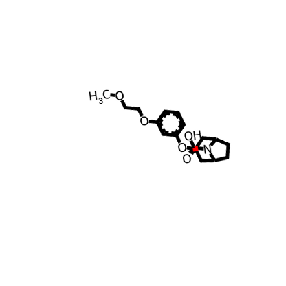 COCCOc1cccc(OC2CC3CCC(C2)N3C(=O)O)c1